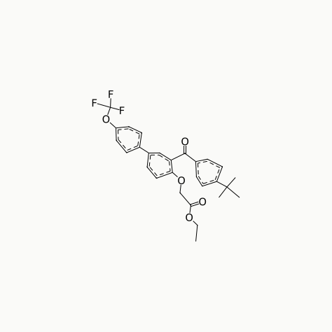 CCOC(=O)COc1ccc(-c2ccc(OC(F)(F)F)cc2)cc1C(=O)c1ccc(C(C)(C)C)cc1